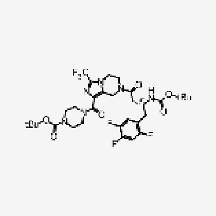 CC(C)(C)OC(=O)N[C@@H](CC(=O)N1CCn2c(C(F)(F)F)nc(C(=O)N3CCN(C(=O)OC(C)(C)C)CC3)c2C1)Cc1cc(F)c(F)cc1F